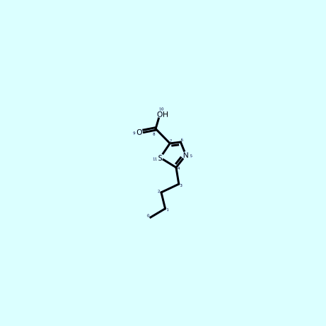 CCCCc1ncc(C(=O)O)s1